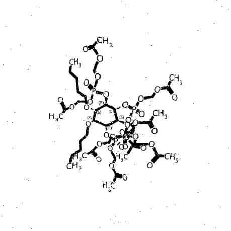 CCCCCO[C@@H]1[C@H](OCCCCC)[C@@H](OP(=O)(OCOC(C)=O)OCOC(C)=O)[C@H](OP(=O)(OCOC(C)=O)OCOC(C)=O)[C@@H](OP(=O)(OCOC(C)=O)OCOC(C)=O)[C@@H]1OP(=O)(OCOC(C)=O)OCOC(C)=O